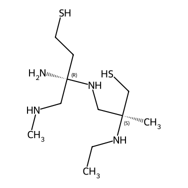 CCN[C@](C)(CS)CN[C@](N)(CCS)CNC